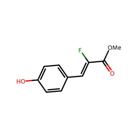 COC(=O)/C(F)=C/c1ccc(O)cc1